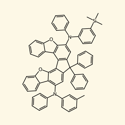 Cc1cccc(N(c2ccccc2)c2cc3c(c4oc5ccccc5c24)-c2c(cc(N(c4ccccc4)c4cccc([Si](C)(C)C)c4)c4oc5ccccc5c24)C3(c2ccccc2)c2ccccc2)c1